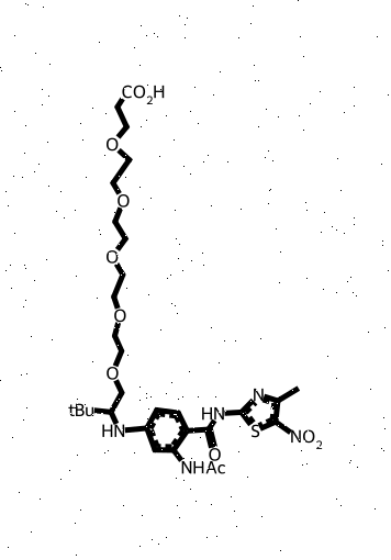 CC(=O)Nc1cc(NC(COCCOCCOCCOCCOCCC(=O)O)C(C)(C)C)ccc1C(=O)Nc1nc(C)c([N+](=O)[O-])s1